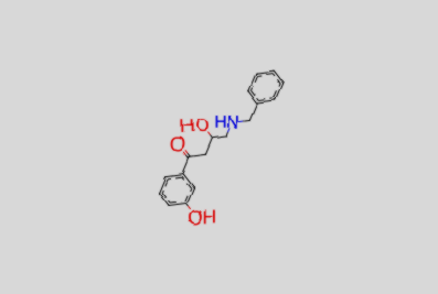 O=C(CC(O)CNCc1ccccc1)c1cccc(O)c1